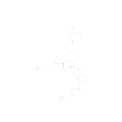 COCCNC(=O)c1cc(CN2CCCC(N(C)C)C2)ccc1NC(=O)C1CSC(N2CC[C@H](OC)C2)=N1